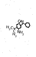 CC(C)c1cc2onc(-c3ccccc3)c2cc1N